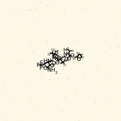 CC(C)[C@H](NC(=O)N[C@H](C(=O)N1C[C@H]2C([C@H]1C(=O)NC(CCC(F)(F)F)C(=O)C(N)=O)C2(C)C)C(C)(C)C)C(=O)OCc1ccco1